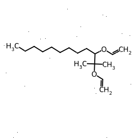 C=COC(CCCCCCCCC)C(C)(C)OC=C